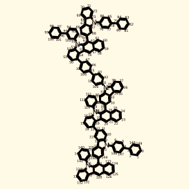 c1ccc(-c2ccc(-n3c4ccc(-c5cccc6c5c5cc7ccccc7c(-c7ccc8c(c7)c7ccccc7n8-c7ccc(-c8ccc(-c9cccc%10c9c9cc%11ccccc%11c(-c%11ccc%12c%13ccccc%13n(-c%13ccc(-c%14ccccc%14)cc%13)c%12c%11)c9n%10-c9cccc(-c%10ccccc%10)c9)cc8)cc7)c5n6-c5ccccc5)cc4c4ccc(-c5c6ccccc6cc6c7ccccc7n(-c7ccccc7)c56)cc43)cc2)cc1